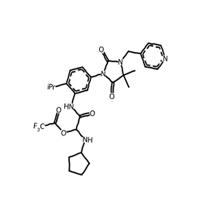 CC(C)c1ccc(N2C(=O)N(Cc3ccncc3)C(C)(C)C2=O)cc1NC(=O)C(NC1CCCC1)OC(=O)C(F)(F)F